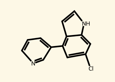 Clc1cc(-c2cccnc2)c2cc[nH]c2c1